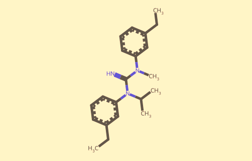 CCc1cccc(N(C)C(=N)N(c2cccc(CC)c2)C(C)C)c1